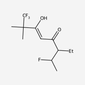 CCC(C(=O)/C=C(\O)C(C)(C)C(F)(F)F)C(C)F